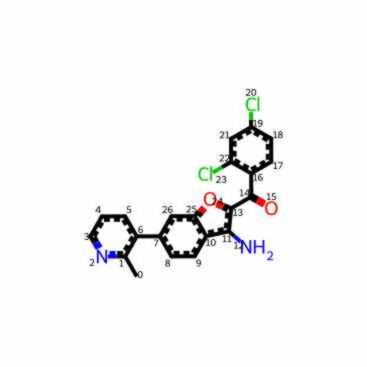 Cc1ncccc1-c1ccc2c(N)c(C(=O)c3ccc(Cl)cc3Cl)oc2c1